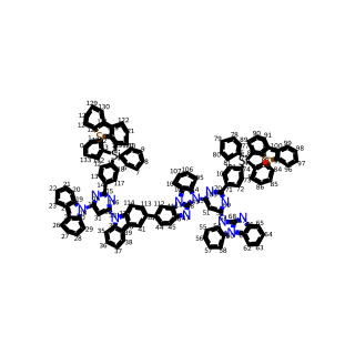 c1ccc([Si](c2ccccc2)(c2ccc(-c3nc(-n4c5ccccc5c5ccccc54)cc(-n4c5ccccc5c5cc(-c6ccc7nc8n(-c9cc(-n%10c%11ccccc%11n%11c%12ccccc%12nc%10%11)nc(-c%10ccc([Si](c%11ccccc%11)(c%11ccccc%11)c%11cccc%12c%11sc%11ccccc%11%12)cc%10)n9)c9ccccc9n8c7c6)ccc54)n3)cc2)c2cccc3c2sc2ccccc23)cc1